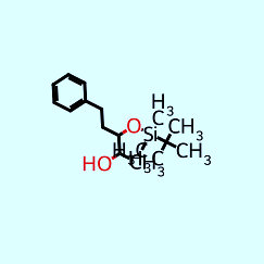 CC(O)C(CCc1ccccc1)O[Si](C)(C)C(C)(C)C